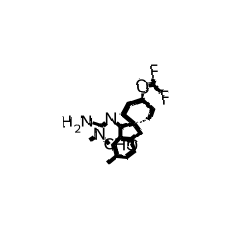 Cc1ccc2c(c1)C(/N=C(/N)N(C)C=O)[C@]1(CC[C@H](OC(F)F)CC1)C2